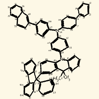 CC1(C)c2ccccc2N(c2ccc(N(c3ccc(-c4ccccc4)cc3)c3ccc(-c4ccc5ccccc5c4)cc3)cc2)c2ccc(C3(c4ccccc4)c4ccccc4-c4ccccc43)cc21